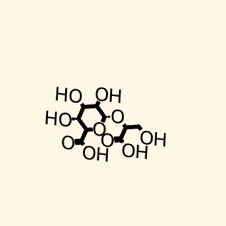 O=C(O)C(CO)O[C@@H]1OC(C(=O)O)[C@@H](O)C(O)C1O